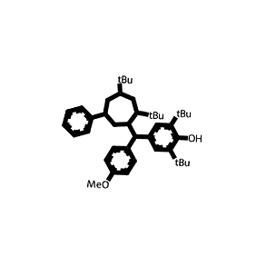 COc1ccc(C(c2cc(C(C)(C)C)c(O)c(C(C)(C)C)c2)C2CC(c3ccccc3)CC(C(C)(C)C)CC2C(C)(C)C)cc1